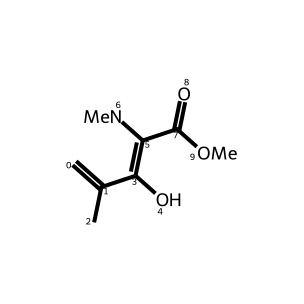 C=C(C)/C(O)=C(\NC)C(=O)OC